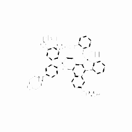 CCCCOc1ccc(C2(c3ccc(N4CCOCC4)cc3)C=Cc3c4c(c5cc(OC)ccc5c3O2)-c2ccccc2C4(C)Cc2ccccc2OC)cc1